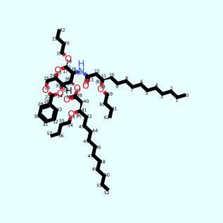 CCCCCCCCCCC[C@H](CC(=O)NC1[C@@H](OCCCC)OC2COC(c3ccccc3)O[C@H]2[C@@H]1OC(=O)C[C@@H](CCCCCCCCCCC)OCCCC)OCCCC